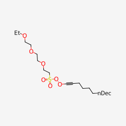 CCCCCCCCCCCCCCC#COOS(=O)(=O)CCOCCOCCOCC